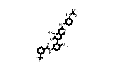 CC(=O)Nc1cccc(Nc2cc3c(cn2)cc(-c2cc(NC(=O)c4cccc(C(F)(F)F)c4)ccc2C)c(=O)n3C)c1